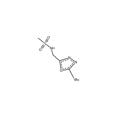 CC(C)(C)c1nnc(CNS(C)(=O)=O)o1